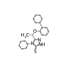 CC(Oc1ccccc1-c1ccccc1)c1n[nH]c(=S)n1-c1ccccc1